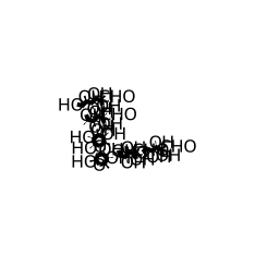 C[C@H](O)[C@@H](O)[C@@H](O)[C@H](O)C=O.C[C@H](O)[C@H](O)[C@@H](O)[C@@H](O)C=O.C[C@H]1O[C@@H](O)C[C@H](O)[C@@H]1O.C[C@H]1O[C@H](O)[C@H](O)[C@@H](O)[C@@H]1O.O=C[C@@H](O)[C@@H](O)[C@H](O)CO.O=C[C@@H](O)[C@@H](O)[C@H](O)[C@H](O)CO